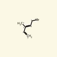 C=CC(C)=CCBr